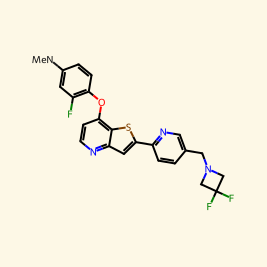 CNc1ccc(Oc2ccnc3cc(-c4ccc(CN5CC(F)(F)C5)cn4)sc23)c(F)c1